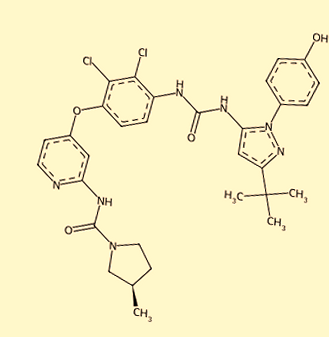 C[C@@H]1CCN(C(=O)Nc2cc(Oc3ccc(NC(=O)Nc4cc(C(C)(C)C)nn4-c4ccc(O)cc4)c(Cl)c3Cl)ccn2)C1